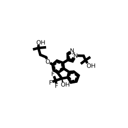 CC(C)(O)CCOc1cc(-c2cnn(CC(C)(C)O)c2)c2c(c1)[C@@](O)(C(F)(F)F)c1ccccc1-2